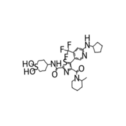 CC1CCCCN1C(=O)c1nc(C(=O)NC2CCS(O)(O)CC2)sc1-c1cnc(NC2CCCC2)cc1C(F)(F)F